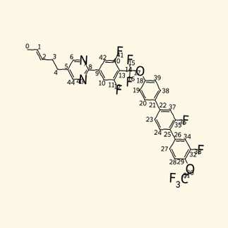 C/C=C/CCc1cnc(-c2cc(F)c(C(F)(F)Oc3ccc(-c4ccc(-c5ccc(OC(F)(F)F)c(F)c5)c(F)c4)cc3)c(F)c2)nc1